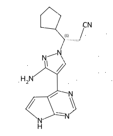 N#CC[C@@H](C1CCCC1)n1cc(-c2ncnc3[nH]ccc23)c(N)n1